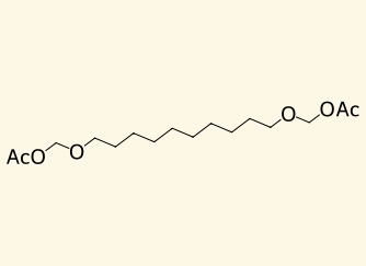 CC(=O)OCOCCCCCCCCCCOCOC(C)=O